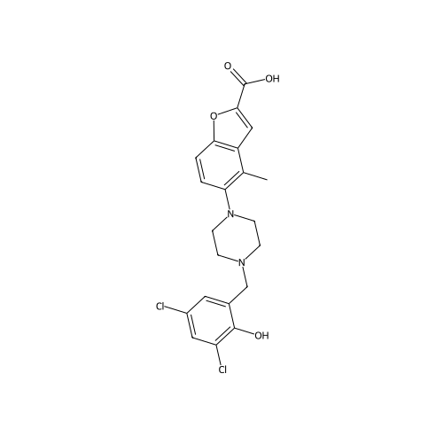 Cc1c(N2CCN(Cc3cc(Cl)cc(Cl)c3O)CC2)ccc2oc(C(=O)O)cc12